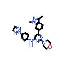 Cc1nn(C)c2cc(-c3cc(Nc4ccc(-n5nccn5)cc4)nc(N4CCOCC4)n3)ccc12